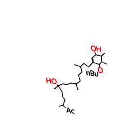 CCCCOC1C(CCC(C)CCCC(C)CCCC(C)(O)CCCC(C)C(C)=O)=CC(O)C(C)C1C